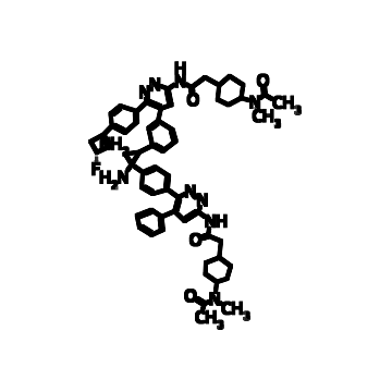 CC(=O)N(C)C1CCC(CC(=O)Nc2cc(-c3ccccc3)c(-c3ccc(C4(N)CC4c4cccc(-c5cc(NC(=O)CC6CCC(N(C)C(C)=O)CC6)nnc5-c5ccc([C@]6(N)C[C@H](F)C6)cc5)c4)cc3)nn2)CC1